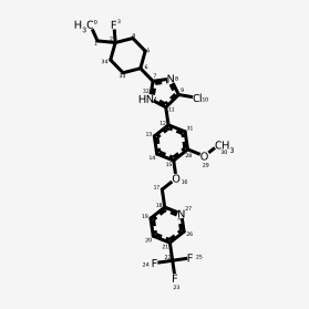 CCC1(F)CCC(c2nc(Cl)c(-c3ccc(OCc4ccc(C(F)(F)F)cn4)c(OC)c3)[nH]2)CC1